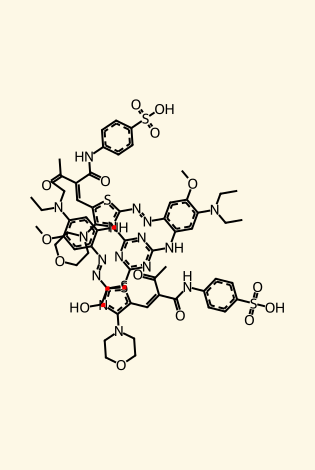 CCN(CC)c1cc(Nc2nc(Nc3cc(N(CC)CC)c(OC)cc3/N=N/c3nc(N4CCOCC4)c(/C=C(\C(C)=O)C(=O)Nc4ccc(S(=O)(=O)O)cc4)s3)nc(SCCO)n2)c(/N=N/c2nc(N3CCOCC3)c(/C=C(/C(C)=O)C(=O)Nc3ccc(S(=O)(=O)O)cc3)s2)cc1OC